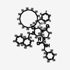 O=C1[C@H](CC2(c3ccccc3)CCCCCCCCCCCC2)N2C(=O)CCN(C(=O)NCc3ccccc3)[C@H]2CN1Cc1cccc2ccccc12